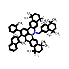 Cc1cccc(C)c1-c1cc2c3c(c1-c1ccc4ccccc4c1C)C(C)c1cc4c(cc1B3N(Cc1ccc3c(c1)C(C)(C)CCC3(C)C)c1cc3c(cc1-2)C(C)(C)CCC3(C)C)C(C)(C)CCC4(C)C